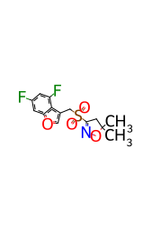 CC1(C)CC(S(=O)(=O)Cc2coc3cc(F)cc(F)c23)=NO1